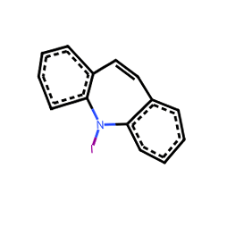 IN1c2ccccc2C=Cc2ccccc21